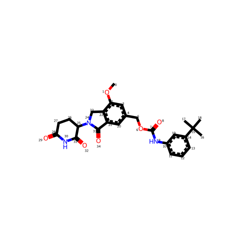 COc1cc(COC(=O)Nc2cccc(C(C)(C)C)c2)cc2c1CN(C1CCC(=O)NC1=O)C2=O